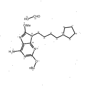 CCCCOc1nc(N)c2nc(OC)n(CCCCN3CCCC3)c2n1.O=CO